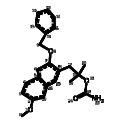 COc1ccc2cc(OCc3ccccc3)c(CC(C)(C)OC(N)=O)cc2c1